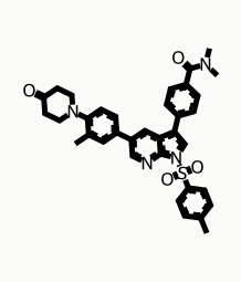 Cc1ccc(S(=O)(=O)n2cc(-c3ccc(C(=O)N(C)C)cc3)c3cc(-c4ccc(N5CCC(=O)CC5)c(C)c4)cnc32)cc1